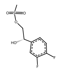 CS(=O)(=O)OC[C@@H](O)c1ccc(F)c(F)c1